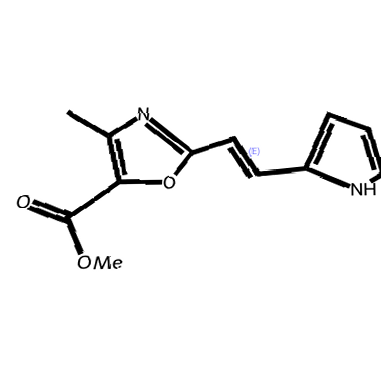 COC(=O)c1oc(/C=C/c2ccc[nH]2)nc1C